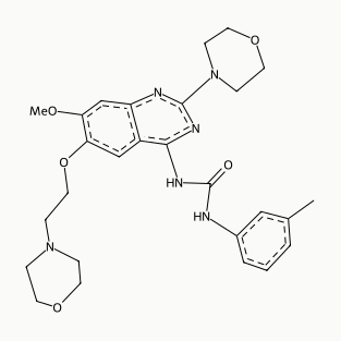 COc1cc2nc(N3CCOCC3)nc(NC(=O)Nc3cccc(C)c3)c2cc1OCCN1CCOCC1